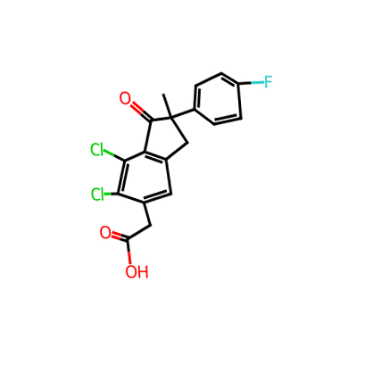 CC1(c2ccc(F)cc2)Cc2cc(CC(=O)O)c(Cl)c(Cl)c2C1=O